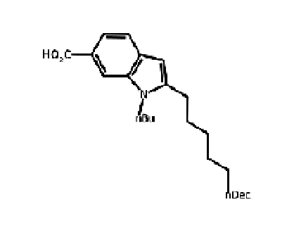 CCCCCCCCCCCCCCCc1cc2ccc(C(=O)O)cc2n1CCCC